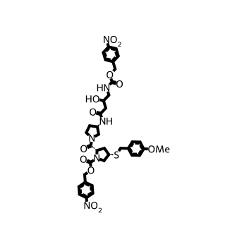 COc1ccc(CS[C@H]2C[C@@H](C(=O)N3CC[C@H](NC(=O)CC(O)CNC(=O)OCc4ccc([N+](=O)[O-])cc4)C3)N(C(=O)OCc3ccc([N+](=O)[O-])cc3)C2)cc1